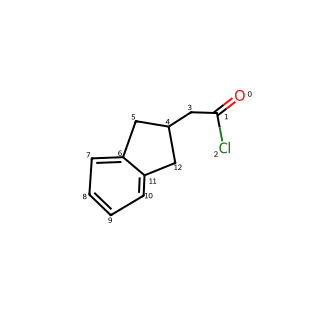 O=C(Cl)CC1Cc2ccccc2C1